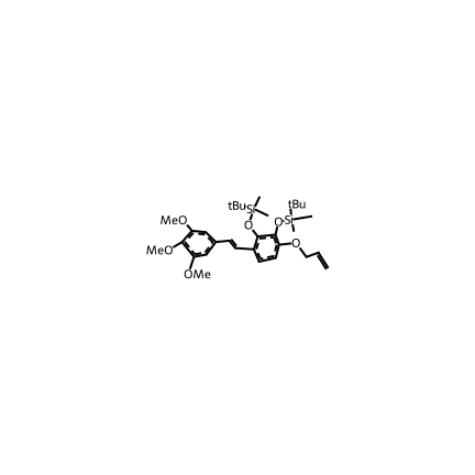 C=CCOc1ccc(C=Cc2cc(OC)c(OC)c(OC)c2)c(O[Si](C)(C)C(C)(C)C)c1O[Si](C)(C)C(C)(C)C